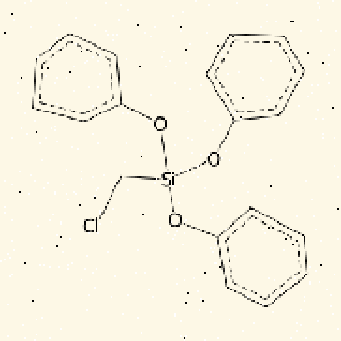 ClC[Si](Oc1ccccc1)(Oc1ccccc1)Oc1ccccc1